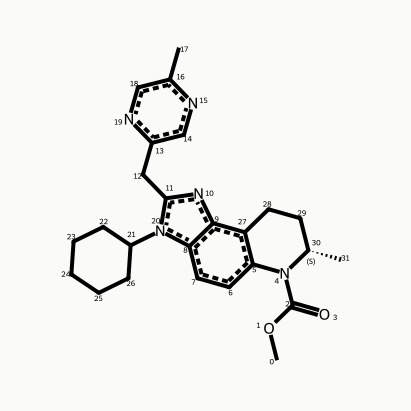 COC(=O)N1c2ccc3c(nc(Cc4cnc(C)cn4)n3C3CCCCC3)c2CC[C@@H]1C